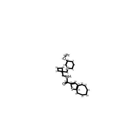 CC(C)OC1CCCN(CC2(CNC(=O)c3cc4c(s3)CCCCCC4)CCC2)C1